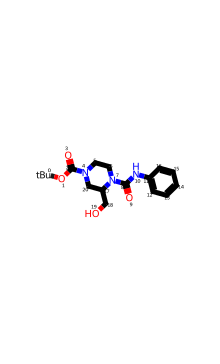 CC(C)(C)OC(=O)N1CCN(C(=O)Nc2ccccc2)C(CO)C1